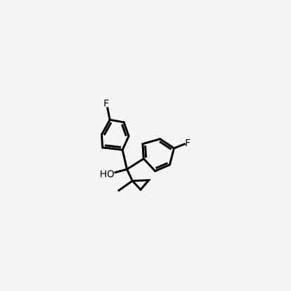 CC1(C(O)(c2ccc(F)cc2)c2ccc(F)cc2)CC1